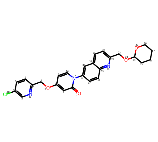 O=c1cc(OCc2ccc(Cl)cn2)ccn1-c1ccc2nc(COC3CCCCO3)ccc2c1